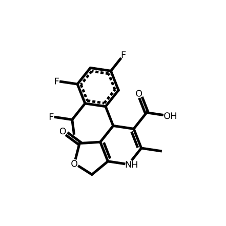 CC1=C(C(=O)O)C(c2cc(F)cc(F)c2C(C)F)C2=C(COC2=O)N1